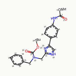 COC(=O)Nc1ccc(-c2c[nH]c(CN(Cc3ccccc3)C(=O)OC(C)(C)C)n2)cc1